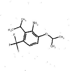 CC(C)Oc1ccc(C(F)(F)F)c(C(C)C)c1N